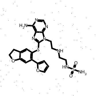 Nc1ncnc2c1nc(Sc1cc3c(cc1-c1ccco1)OCC3)n2CCNCCNS(N)(=O)=O